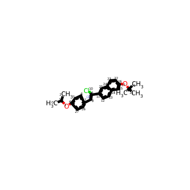 CC(C)Oc1ccc(/C=C(\Cl)c2ccc3cc(OC(C)(C)C)ccc3c2)cc1